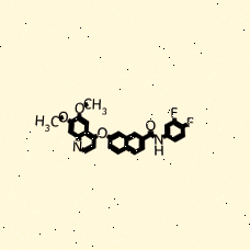 COc1cc2nccc(Oc3ccc4ccc(C(=O)Nc5ccc(F)c(F)c5)cc4c3)c2cc1OC